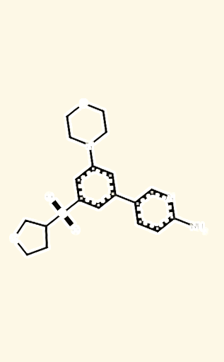 Nc1ccc(-c2cc(N3CCOCC3)cc(S(=O)(=O)C3CCOC3)c2)cn1